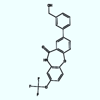 O=C1Nc2cc(OC(F)(F)F)ccc2Oc2ccc(-c3cccc(CO)c3)cc21